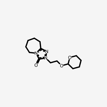 O=c1n(CCOC2CCCCO2)nc2n1CCCCC2